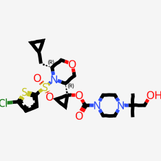 CC(C)(CO)N1CCN(C(=O)OC2([C@H]3COC[C@@H](CC4CC4)N3S(=O)(=O)c3ccc(Cl)s3)CC2)CC1